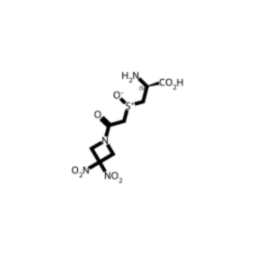 N[C@H](C[S+]([O-])CC(=O)N1CC([N+](=O)[O-])([N+](=O)[O-])C1)C(=O)O